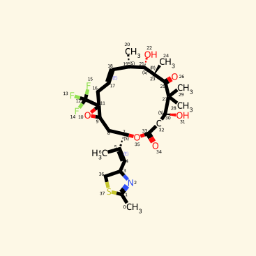 CC1=NC(/C=C(\C)[C@@H]2CC3OC3(C(F)(F)F)C/C=C/[C@H](C)[C@H](O)[C@@H](C)C(=O)C(C)(C)[C@@H](O)CC(=O)O2)CS1